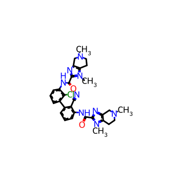 CN1CCc2c(nc(C(=O)Nc3cccc(-c4cccc(NC(=O)c5nc6c(n5C)CCN(C)C6)c4C#N)c3Cl)n2C)C1